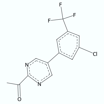 CC(=O)c1ncc(-c2cc(Cl)cc(C(F)(F)F)c2)cn1